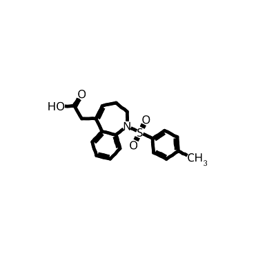 Cc1ccc(S(=O)(=O)N2CCC=C(CC(=O)O)c3ccccc32)cc1